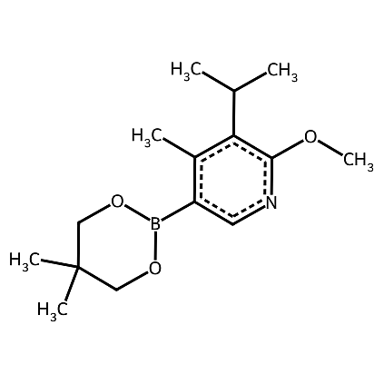 COc1ncc(B2OCC(C)(C)CO2)c(C)c1C(C)C